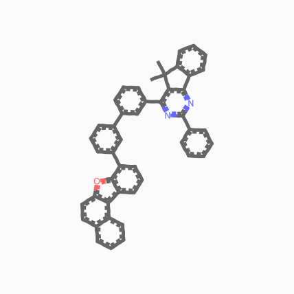 CC1(C)c2ccccc2-c2nc(-c3ccccc3)nc(-c3cccc(-c4cccc(-c5cccc6c5oc5ccc7ccccc7c56)c4)c3)c21